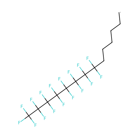 [CH2]CCCCCC(F)(F)C(F)(F)C(F)(F)C(F)(F)C(F)(F)C(F)(F)C(F)(F)C(F)(F)F